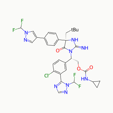 CC(C)(C)C[C@]1(c2ccc(-c3cnn(C(F)F)c3)cc2)NC(=N)N([C@H](COC(=O)NC2CC2)c2ccc(Cl)c(-c3ncnn3C(F)F)c2)C1=O